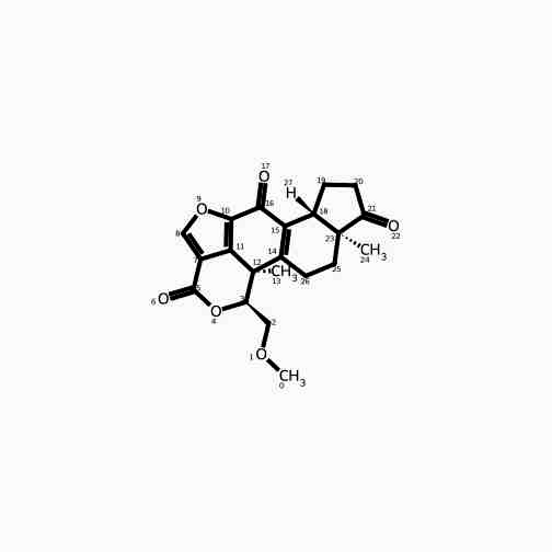 COC[C@H]1OC(=O)c2coc3c2[C@@]1(C)C1=C(C3=O)[C@@H]2CCC(=O)[C@@]2(C)CC1